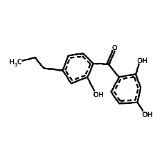 CCCc1ccc(C(=O)c2ccc(O)cc2O)c(O)c1